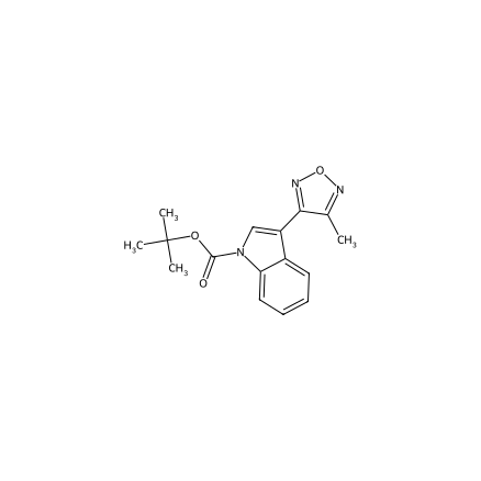 Cc1nonc1-c1cn(C(=O)OC(C)(C)C)c2ccccc12